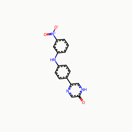 O=c1cnc(-c2ccc(Nc3cccc([N+](=O)[O-])c3)cc2)c[nH]1